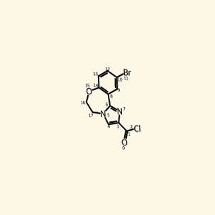 O=C(Cl)c1cn2c(n1)-c1cc(Br)ccc1OCC2